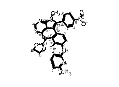 Cc1cccc(Oc2ccc(-c3c(-c4ccc([N+](=O)[O-])cc4)n(C)c4ncnc(N)c34)c(CC3OCCO3)c2F)n1